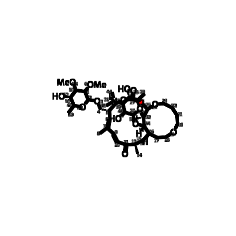 COC1C(OC[C@H]2/C=C(C)/C=C/C(=O)[C@H](C)C[C@@H]3CCOCCCCO[C@H](CC(=O)O[C@@H]2I)[C@H](C)[C@H]3O[C@@H]2OC(C)[C@@H](O)C(N(C)C)C2O)OC(C)[C@@H](O)C1OC